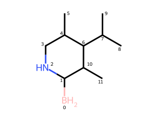 BC1NCC(C)C(C(C)C)C1C